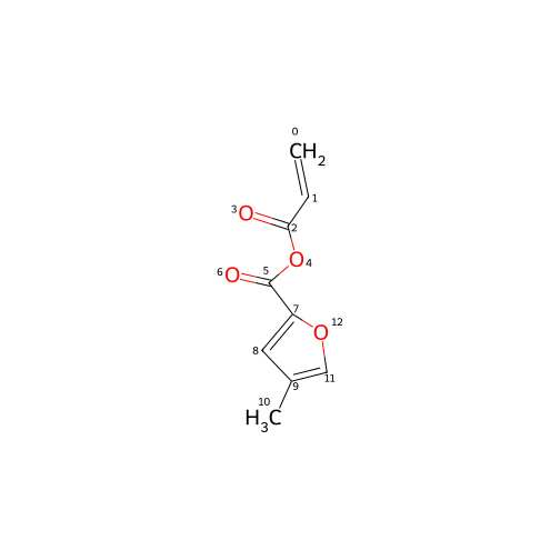 C=CC(=O)OC(=O)c1cc(C)co1